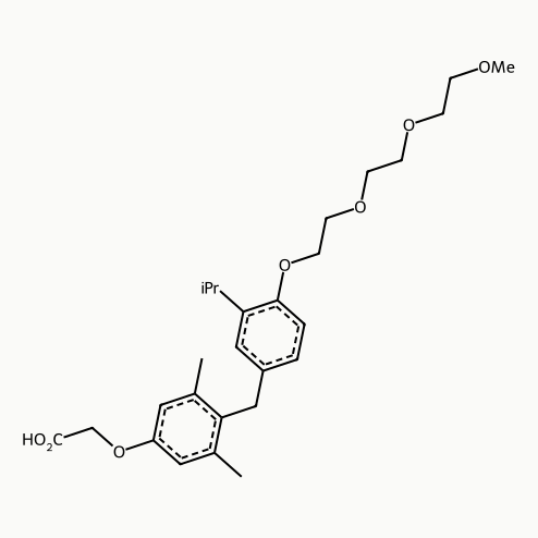 COCCOCCOCCOc1ccc(Cc2c(C)cc(OCC(=O)O)cc2C)cc1C(C)C